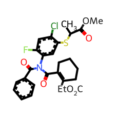 CCOC(=O)C1=C(C(=O)N(C(=O)c2ccccc2)c2cc(SC(C)C(=O)OC)c(Cl)cc2F)CCCC1